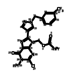 CCCC(=O)OCn1c(-c2cnn(Cc3cccc(C(F)(F)F)c3)c2)nc2c(=O)n(CCC)c(Cl)nc21